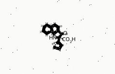 O=C(O)[C@]1(c2cccs2)Nc2c(ccc3ccccc23)C1=O